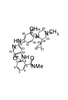 CNC(=O)c1ccccc1Nc1cc(Nc2ccc(N3CCN(C)C[C@H]3C3CC3)c(O)c2)ncc1C(F)(F)F